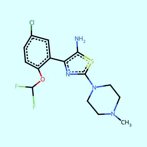 CN1CCN(c2nc(-c3cc(Cl)ccc3OC(F)F)c(N)s2)CC1